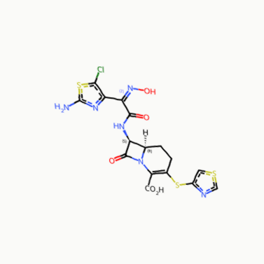 Nc1nc(/C(=N/O)C(=O)N[C@@H]2C(=O)N3C(C(=O)O)=C(Sc4cscn4)CC[C@H]23)c(Cl)s1